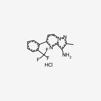 Cc1nn2ccc(-c3ccccc3C(F)(F)F)nc2c1N.Cl